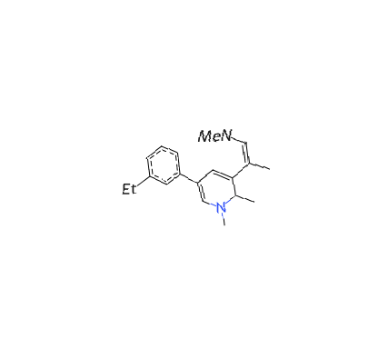 CCc1cccc(C2=CN(C)C(C)C(/C(C)=C\NC)=C2)c1